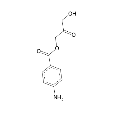 Nc1ccc(C(=O)OCC(=O)CO)cc1